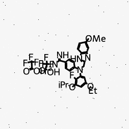 CCOc1cc(OC(C)C)c(F)c(N(Cc2nc3cc(OC)ccc3[nH]2)c2ccc(C(=N)N)cc2)c1.O=C(O)C(F)(F)F.O=C(O)C(F)(F)F